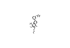 C=C(/C=C\C(N)=C(/C)N(CCCCC)C(=C)CC)c1cccc(CC(C)(C)F)c1